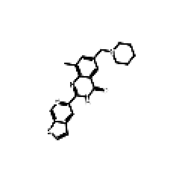 Cc1cc(CN2CCCCC2)cc2c(=O)[nH]c(-c3cc4ccsc4cn3)nc12